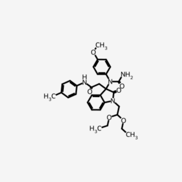 CCOC(CN1C(=O)C(CC(=O)Nc2ccc(C)cc2)(N(C(N)=O)c2ccc(OC)cc2)c2ccccc21)OCC